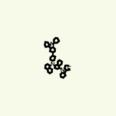 c1ccc(-n2c3ccccc3c3cc(-c4ccc(N(c5cccc6ccccc56)c5ccc(-n6c7ccccc7c7ccccc76)c6ccccc56)cc4)ccc32)cc1